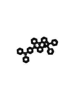 c1ccc(-c2c(-c3ccccc3)n3c4c(cccc24)B2c4ccccc4N(c4ccc(N(c5ccccc5)c5ccccc5)cc4)c4cccc-3c42)cc1